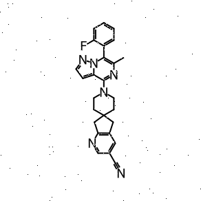 Cc1nc(N2CCC3(CC2)Cc2cc(C#N)cnc2C3)c2ccnn2c1-c1ccccc1F